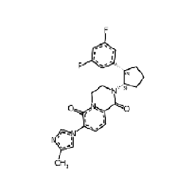 Cc1cn(-c2ccc3n(c2=O)CCN([C@H]2CCC[C@H]2c2cc(F)cc(F)c2)C3=O)cn1